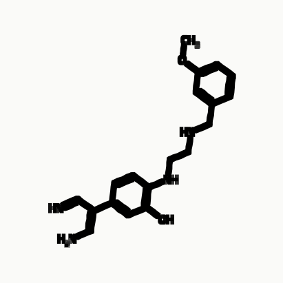 COc1cccc(CNCCNc2ccc(/C(C=N)=C/N)cc2O)c1